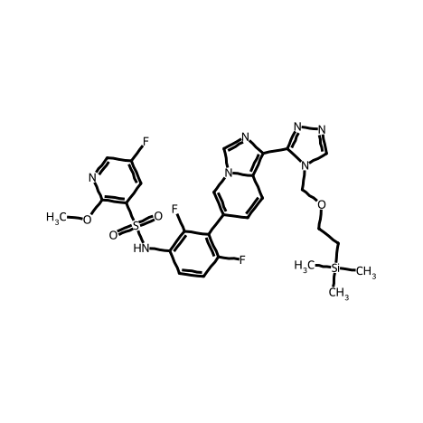 COc1ncc(F)cc1S(=O)(=O)Nc1ccc(F)c(-c2ccc3c(-c4nncn4COCC[Si](C)(C)C)ncn3c2)c1F